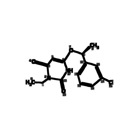 CCn1c(=O)cc(O[C@@H](C)c2cccc(Cl)c2)[nH]c1=O